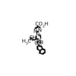 CN(C)CC1CN(c2ncc(C(=O)O)cn2)CCN1S(=O)(=O)c1ccc2ccccc2c1